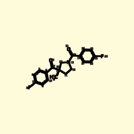 C[C@]1(C(=O)c2ccc(F)cc2)CCN(C(=O)c2ccc(F)cc2)C1